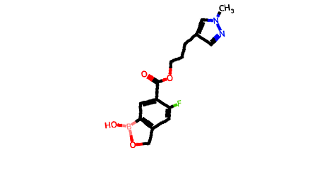 Cn1cc(CCCOC(=O)c2cc3c(cc2F)COB3O)cn1